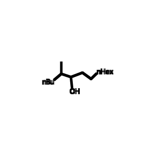 CCCCCCCCC(O)C(C)CCCC